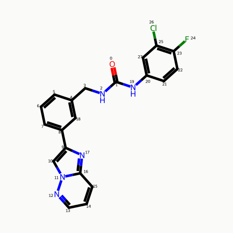 O=C(NCc1cccc(-c2cn3ncccc3n2)c1)Nc1ccc(F)c(Cl)c1